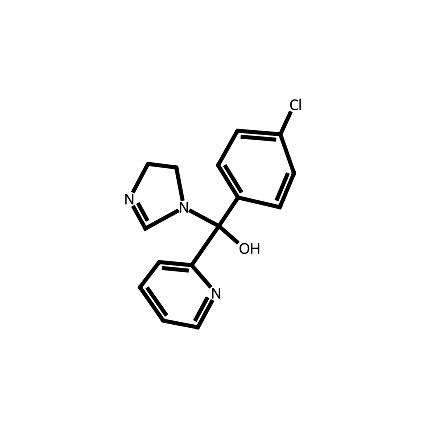 OC(c1ccc(Cl)cc1)(c1ccccn1)N1C=NCC1